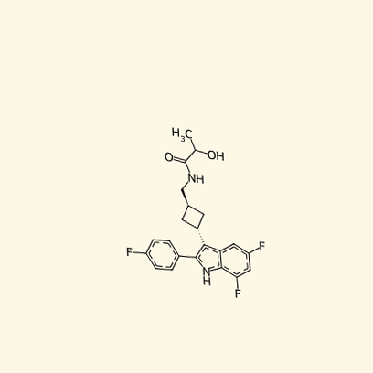 CC(O)C(=O)NC[C@H]1C[C@H](c2c(-c3ccc(F)cc3)[nH]c3c(F)cc(F)cc32)C1